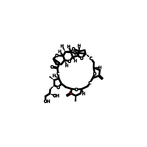 C=C1C[C@@H]2CC[C@@]34C[C@H]5O[C@H]6[C@@H](O3)[C@H]3OC(CC[C@@H]3O[C@H]6[C@H]5O4)CC(=O)C[C@H]3C(C[C@H]4O[C@@H](CCC1O2)C[C@@H](C)C4=C)O[C@H](C[C@H](O)CO)[C@@H]3C